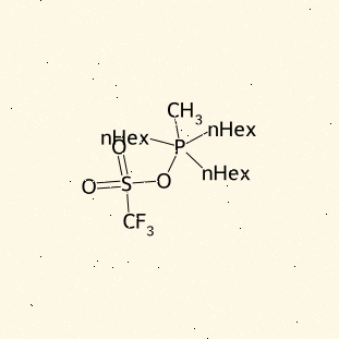 CCCCCCP(C)(CCCCCC)(CCCCCC)OS(=O)(=O)C(F)(F)F